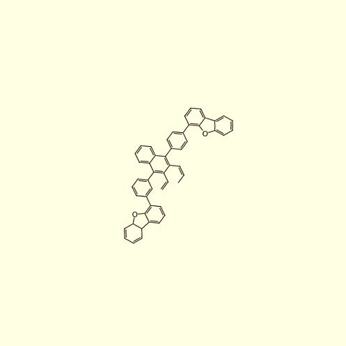 C=Cc1c(/C=C\C)c(-c2ccc(-c3cccc4c3oc3ccccc34)cc2)c2ccccc2c1-c1cccc(-c2cccc3c2OC2C=CC=CC32)c1